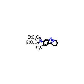 CCOC(=O)CN(CC(=O)OCC)c1cc2nn3c(c2cc1C)CCCC3